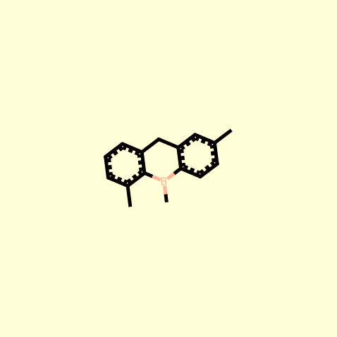 CB1c2ccc(C)cc2Cc2cccc(C)c21